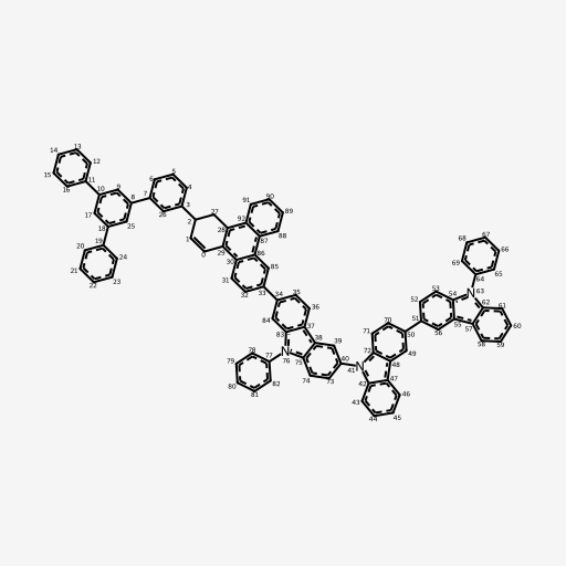 C1=CC(c2cccc(-c3cc(-c4ccccc4)cc(-c4ccccc4)c3)c2)Cc2c1c1ccc(-c3ccc4c5cc(-n6c7ccccc7c7cc(-c8ccc9c(c8)c8ccccc8n9-c8ccccc8)ccc76)ccc5n(-c5ccccc5)c4c3)cc1c1ccccc21